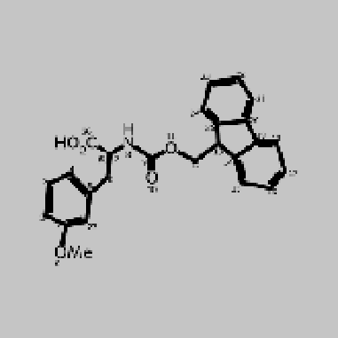 COc1cccc(C[C@H](NC(=O)OCC2c3ccccc3-c3ccccc32)C(=O)O)c1